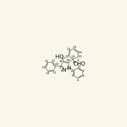 Cc1ccccc1-n1nc(-c2ccccc2)c(O)c1C1(C=O)C=CC=CC1